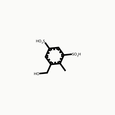 Cc1c(CO)cc(S(=O)(=O)O)cc1S(=O)(=O)O